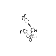 O=C1N[C@H](c2cncc(C#CC3CCC(F)(F)CC3)c2)[C@@H](c2cccc(F)c2)O1